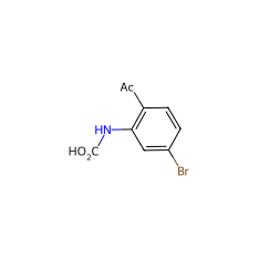 CC(=O)c1ccc(Br)cc1NC(=O)O